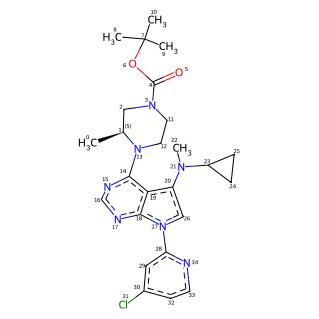 C[C@H]1CN(C(=O)OC(C)(C)C)CCN1c1ncnc2c1c(N(C)C1CC1)cn2-c1cc(Cl)ccn1